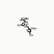 C#Cc1cnc(CNC(=O)[C@@H]2C[C@@H](O)CN2C(=O)[C@@H](NC(=O)O)C(C)(C)C)c(OC)c1